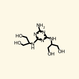 Nc1nc(NC(CO)CO)nc(NC(CO)CO)n1